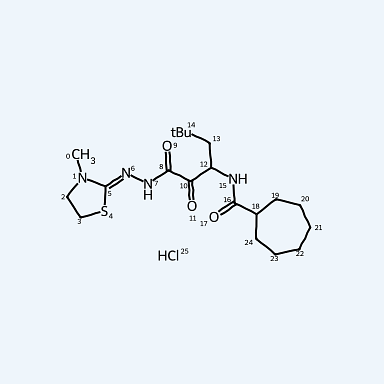 CN1CCSC1=NNC(=O)C(=O)C(CC(C)(C)C)NC(=O)C1CCCCCC1.Cl